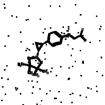 CC1(C)OB([C@@H]2C[C@@H]2c2ccc(OCC(F)F)cc2)OC1(C)C